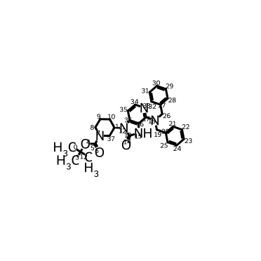 CC(C)(C)OC(=O)N1CCC[C@@H](n2c(=O)[nH]c3c(N(Cc4ccccc4)Cc4ccccc4)nccc32)C1